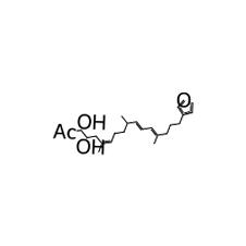 CC(=O)C(O)C(O)CC(C)=CCCC(C)C=CC=C(C)CCCc1ccoc1